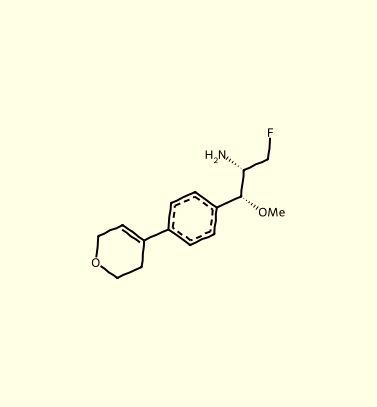 CO[C@H](c1ccc(C2=CCOCC2)cc1)[C@H](N)CF